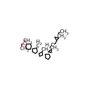 C1CCCC1.[CH2]C1CC1.[CH2]C1CCC1.[CH2]C1CCCC1.[CH2]CC.[CH2]CC1CC1.[CH2]COC.[CH]1CCCCC1